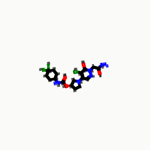 NC(=O)Cn1ncc(N2CC[C@@H](OC(=O)NC3CCC(F)(F)CC3)C2)c(Cl)c1=O